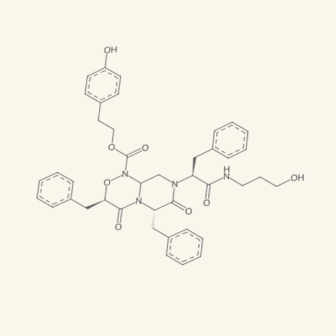 O=C(NCCCO)[C@H](Cc1ccccc1)N1CC2N(C(=O)OCCc3ccc(O)cc3)O[C@H](Cc3ccccc3)C(=O)N2[C@@H](Cc2ccccc2)C1=O